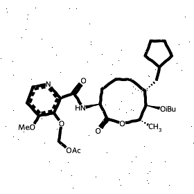 COc1ccnc(C(=O)N[C@H]2CCC[C@H](CC3CCCC3)[C@@H](OCC(C)C)[C@H](C)OC2=O)c1OCOC(C)=O